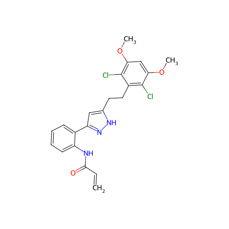 C=CC(=O)Nc1ccccc1-c1cc(CCc2c(Cl)c(OC)cc(OC)c2Cl)[nH]n1